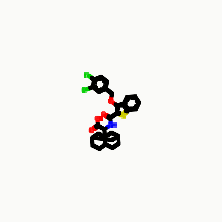 O=C(N[C@H](C(=O)O)C12CC3CCC1CCC(C3)C2)c1sc2ccccc2c1OCc1ccc(Cl)c(Cl)c1